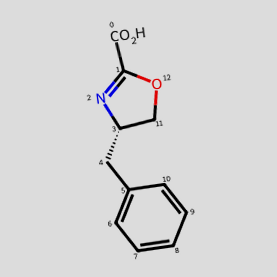 O=C(O)C1=N[C@@H](Cc2ccccc2)CO1